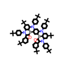 CC(C)(C)c1ccc(N2c3cc4c(cc3B3c5oc6ccc(C(C)(C)C)cc6c5N(c5ccc(C(C)(C)C)cc5)c5cc(C(C)(C)C)cc2c53)B2c3oc5ccc(C(C)(C)C)cc5c3N(c3ccc(C(C)(C)C)cc3)c3cc(C(C)(C)C)cc(c32)N4c2ccc(C(C)(C)C)cc2)cc1